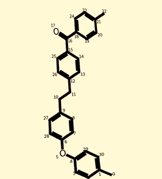 Cc1ccc(Oc2ccc(CCc3ccc(C(=O)c4ccc(C)cc4)cc3)cc2)cc1